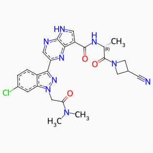 C[C@@H](NC(=O)c1c[nH]c2ncc(-c3nn(CC(=O)N(C)C)c4cc(Cl)ccc34)nc12)C(=O)N1CC(C#N)C1